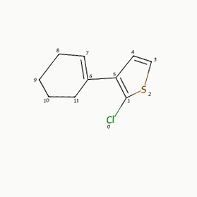 Clc1sccc1C1=CCCCC1